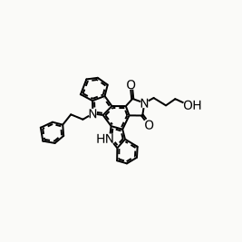 O=C1c2c(c3c4ccccc4n(CCc4ccccc4)c3c3[nH]c4ccccc4c23)C(=O)N1CCCO